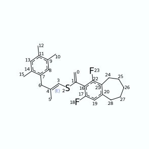 C=C(S/C=C(\C)Cc1cc(C)c(C)cc1C)c1c(F)cc2c(c1F)CCCCC2